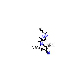 C=CCCC(C)N(C)c1ccc(C(=C)N(CC/C(=C\C(=C/N=C)C2CC2)CCC)CNC)c(C)n1